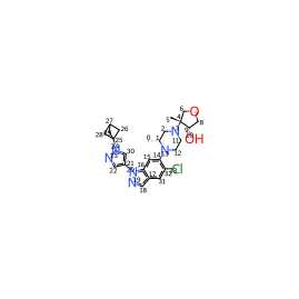 C[C@@H]1CN([C@]2(C)COC[C@@H]2O)CCN1c1cc2c(cnn2-c2cnn(C34CC(C3)C4)c2)cc1Cl